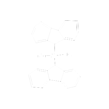 CCC[CH2][Zr]([CH2]CCC)([CH]1c2ccccc2-c2ccccc21)[CH]1c2ccccc2-c2ccccc21